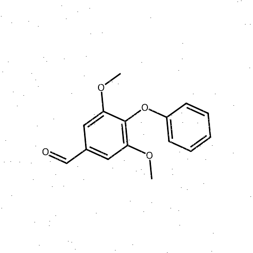 COc1cc(C=O)cc(OC)c1Oc1ccccc1